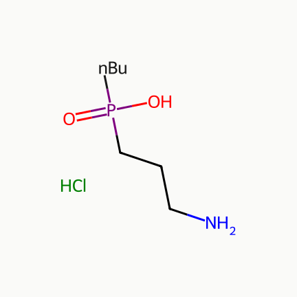 CCCCP(=O)(O)CCCN.Cl